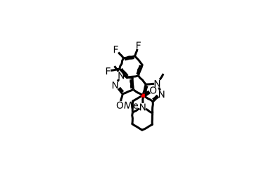 COc1nn(C)cc1C(=O)N1C2CCCC1c1nn(C)c(-c3cc(F)c(F)c(F)c3)c1C2